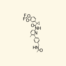 CC(=O)NCc1ccc(-c2nc(NC(=O)C3(c4ccc5c(c4)OC(F)(F)O5)CC3)ccc2C)cc1